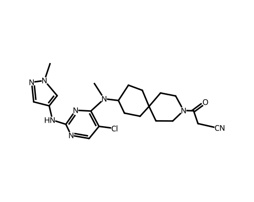 CN(c1nc(Nc2cnn(C)c2)ncc1Cl)C1CCC2(CC1)CCN(C(=O)CC#N)CC2